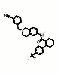 N#Cc1cccc(CN2CCc3cc(NC(=O)C4=C(c5ccc(C(F)(F)F)cc5)CCCC4)ccc3C2)c1